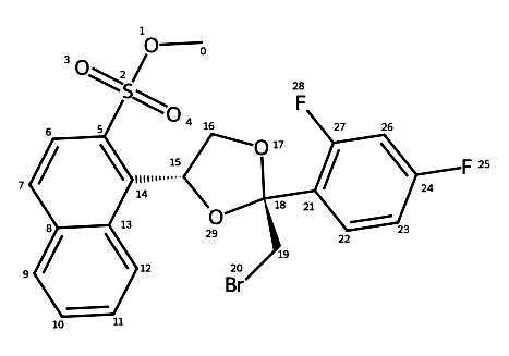 COS(=O)(=O)c1ccc2ccccc2c1[C@@H]1CO[C@](CBr)(c2ccc(F)cc2F)O1